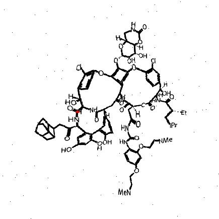 CC[C@H](CC(C)C)C(=O)N[C@H]1C(=O)C[C@@H](CC(=O)NC(=O)Nc2ccc(OCCNC)cc2OCCNC)C(=O)N[C@H]2C(=O)C[C@H]3C(=O)N[C@H](C(=O)N[C@H](C(=O)CC4C5CC6CC(C5)CC4C6)c4cc(O)cc(O)c4-c4cc3ccc4O)[C@H](O)c3ccc(c(Cl)c3)Oc3cc2cc(c3O[C@@H]2O[C@@H]3CNC(=O)O[C@H]3[C@H](O)[C@H]2O)Oc2ccc(cc2Cl)[C@H]1O